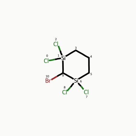 Cl[Si]1(Cl)CCC[Si](Cl)(Cl)C1Br